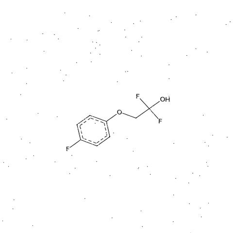 OC(F)(F)COc1ccc(F)cc1